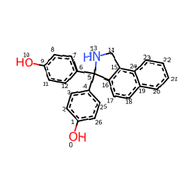 Oc1ccc(C2(c3ccc(O)cc3)NCc3c2ccc2ccccc32)cc1